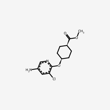 COC(=O)[C@H]1CC[C@@H](Oc2ncc(N)cc2Cl)CC1